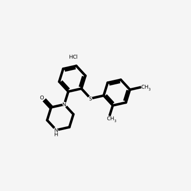 Cc1ccc(Sc2ccccc2N2CCNCC2=O)c(C)c1.Cl